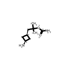 CC(C)(C[C@H]1C[C@@H](N)C1)OC(N)=O